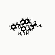 NC(=O)c1cnc(N[C@@H]2CCCC[C@@H]2N)nc1Nc1ccc2c(c1)CN(C(=O)Cc1ccccc1)CC2